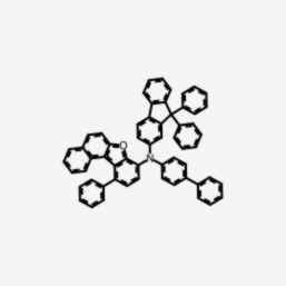 c1ccc(-c2ccc(N(c3ccc4c(c3)C(c3ccccc3)(c3ccccc3)c3ccccc3-4)c3ccc(-c4ccccc4)c4c3oc3ccc5ccccc5c34)cc2)cc1